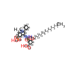 CCCCCCCCCCCCCCCCOc1ccc(C(=O)O)cc1S(=O)(=O)NN=c1cc(-c2ccccc2)n(C)c2ccc(S(=O)(=O)O)cc12